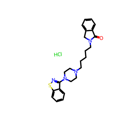 Cl.O=C1c2ccccc2CN1CCCCCN1CCN(c2nsc3ccccc23)CC1